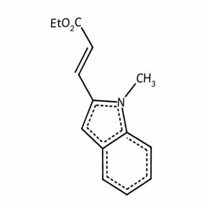 CCOC(=O)C=Cc1cc2ccccc2n1C